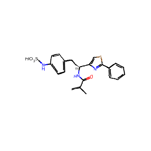 C=C(C)C(=O)N[C@@H](Cc1ccc(NS(=O)(=O)O)cc1)c1csc(-c2ccccc2)n1